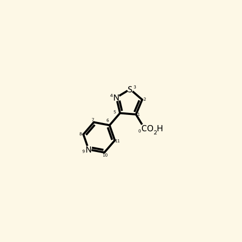 O=C(O)c1csnc1-c1ccncc1